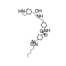 CCCCCc1nc(-c2ccc(S(=O)(=O)Nc3ccc(CCNCC(O)c4ccc5c(c4)CCN5)cc3)cc2)no1